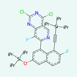 CC(C)[Si](C#Cc1c(F)ccc2cc(O[Si](C(C)C)(C(C)C)C(C)C)cc(-c3ncc4c(Cl)nc(Cl)nc4c3F)c12)(C(C)C)C(C)C